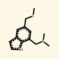 CSCc1cc(CN(C)C)c2[nH]ccc2c1